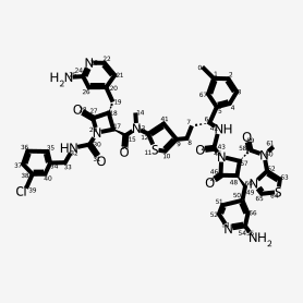 Cc1cccc([C@@H](CCc2csc(N(C)C(=O)[C@@H]3[C@@H](Cc4ccnc(N)c4)C(=O)N3C(=O)NCc3cccc(Cl)c3)c2)NC(=O)N2C(=O)[C@H](Cc3ccnc(N)c3)[C@H]2C(=O)N(C)c2cscn2)c1